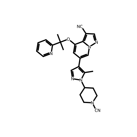 Cc1c(-c2cc(OC(C)(C)c3ccccn3)c3c(C#N)cnn3c2)cnn1C1CCN(C#N)CC1